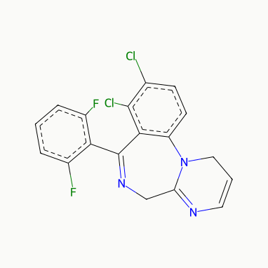 Fc1cccc(F)c1C1=NCC2=NC=CCN2c2ccc(Cl)c(Cl)c21